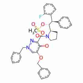 CS(=O)(=O)O[C@H]([C@H](c1ccccc1)c1ccccc1F)[C@H]1CCCN1C(=O)c1nn(Cc2ccccc2)cc(OCc2ccccc2)c1=O